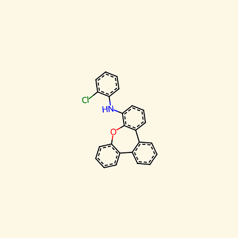 Clc1ccccc1Nc1cccc2c1Oc1ccccc1-c1ccccc1-2